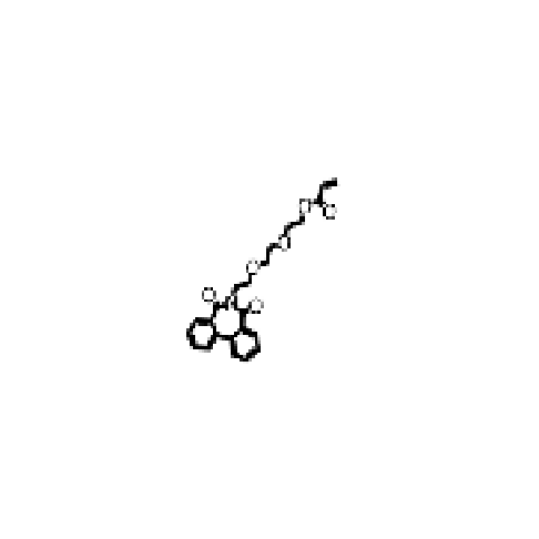 C=CC(=O)OCCOCCOCCn1c(=O)c2ccccc2c2ccccc2c1=O